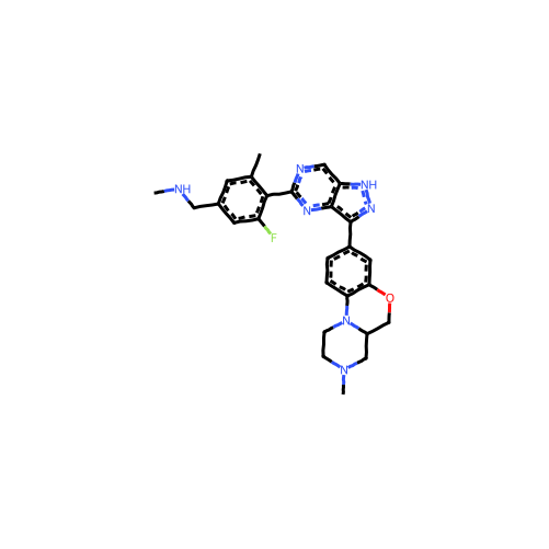 CNCc1cc(C)c(-c2ncc3[nH]nc(-c4ccc5c(c4)OCC4CN(C)CCN54)c3n2)c(F)c1